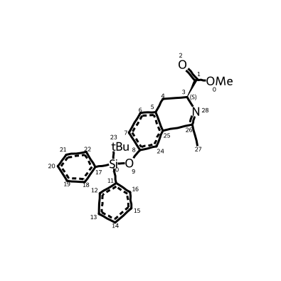 COC(=O)[C@@H]1Cc2ccc(O[Si](c3ccccc3)(c3ccccc3)C(C)(C)C)cc2C(C)=N1